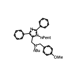 CCCCCn1c(-c2ccccc2)nc(-c2ccccc2)c1CN(CCCC)Cc1ccc(OC)cc1